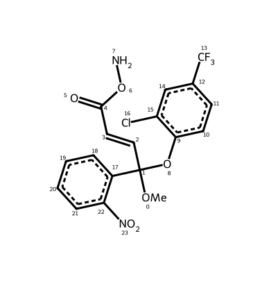 COC(C=CC(=O)ON)(Oc1ccc(C(F)(F)F)cc1Cl)c1ccccc1[N+](=O)[O-]